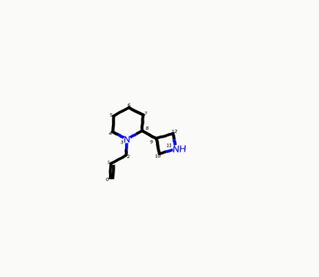 C=CCN1CCCCC1C1CNC1